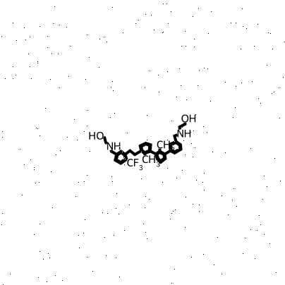 Cc1c(CCc2cc(CNCCO)ccc2C(F)(F)F)cccc1-c1cccc(-c2cccc(CNCCO)c2)c1C